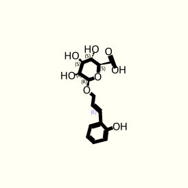 O=C(O)[C@H]1O[C@@H](OC/C=C/c2ccccc2O)[C@H](O)[C@@H](O)[C@@H]1O